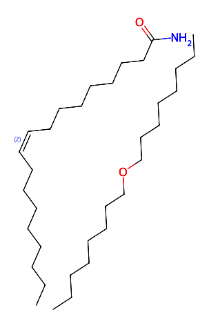 CCCCCCCC/C=C\CCCCCCCC(N)=O.CCCCCCCCOCCCCCCCC